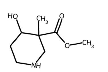 COC(=O)C1(C)CNCCC1O